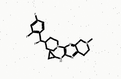 CN1CCc2nc(NC3CC3)c(N3CCC([C@@H](F)c4ccc(F)cc4F)CC3)nc2C1